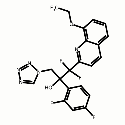 OC(Cn1cnnn1)(c1ccc(F)cc1F)C(F)(F)c1ccc2cccc(OCC(F)(F)F)c2n1